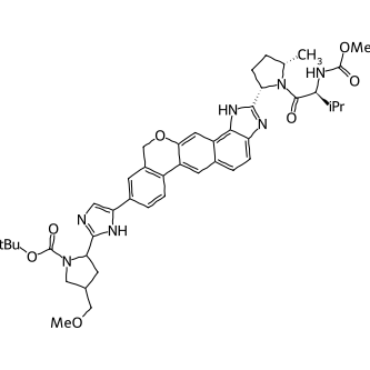 COCC1CC(c2ncc(-c3ccc4c(c3)COc3cc5c(ccc6nc([C@@H]7CC[C@H](C)N7C(=O)[C@@H](NC(=O)OC)C(C)C)[nH]c65)cc3-4)[nH]2)N(C(=O)OC(C)(C)C)C1